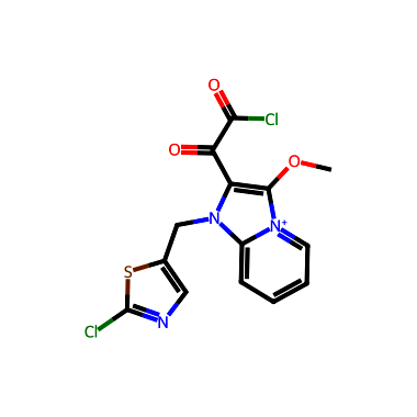 COc1c(C(=O)C(=O)Cl)n(Cc2cnc(Cl)s2)c2cccc[n+]12